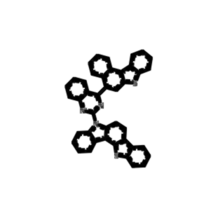 c1ccc2c(-c3cc4sc5ccccc5c4c4ccccc34)nc(-n3c4ccccc4c4c5sc6ccccc6c5ccc43)nc2c1